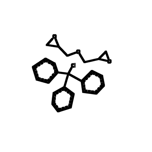 C(OCC1CO1)C1CO1.ClC(c1ccccc1)(c1ccccc1)c1ccccc1